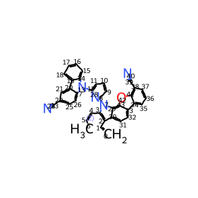 C=Cc1c(/C=C\C)n(-c2cccc(-n3c4ccccc4c4cc(C#N)ccc43)n2)c2c1ccc1c3cccc(C#N)c3oc12